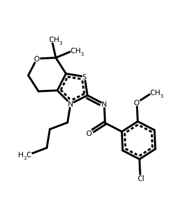 CCCCn1c2c(sc1=NC(=O)c1cc(Cl)ccc1OC)C(C)(C)OCC2